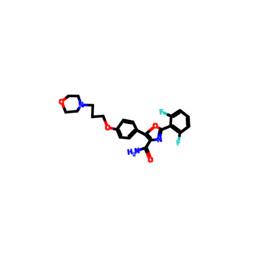 NC(=O)c1nc(-c2c(F)cccc2F)oc1-c1ccc(OCCCN2CCOCC2)cc1